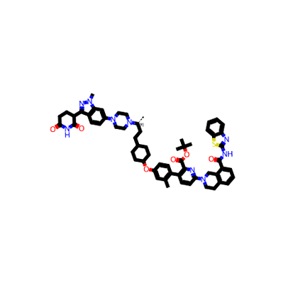 Cc1cc(OC2CCC(CC[C@@H](C)N3CCN(c4ccc5c(C6CCC(=O)NC6=O)nn(C)c5c4)CC3)CC2)ccc1-c1ccc(N2CCc3cccc(C(=O)Nc4nc5ccccc5s4)c3C2)nc1C(=O)OC(C)(C)C